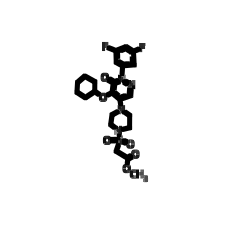 COC(=O)CS(=O)(=O)N1CCN(c2cnn(-c3cc(F)cc(F)c3)c(=O)c2OC2CCCCC2)CC1